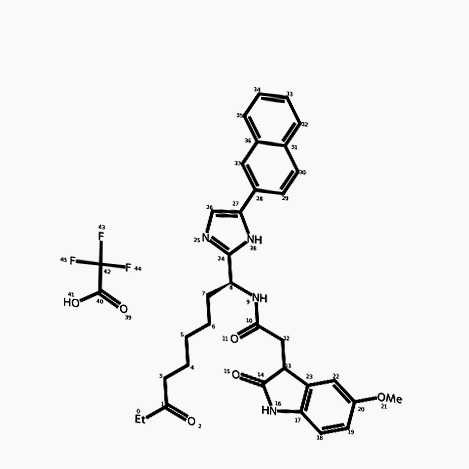 CCC(=O)CCCCC[C@H](NC(=O)CC1C(=O)Nc2ccc(OC)cc21)c1ncc(-c2ccc3ccccc3c2)[nH]1.O=C(O)C(F)(F)F